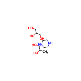 C1CNCCN1.CC(O)CO.OCC(O)CO